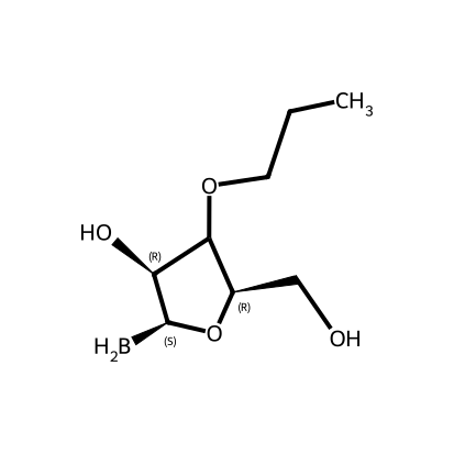 B[C@@H]1O[C@H](CO)C(OCCC)[C@@H]1O